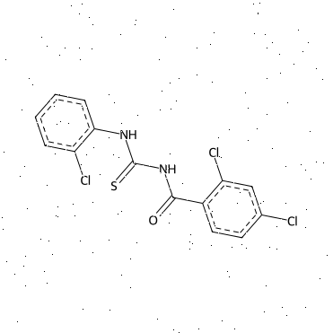 O=C(NC(=S)Nc1ccccc1Cl)c1ccc(Cl)cc1Cl